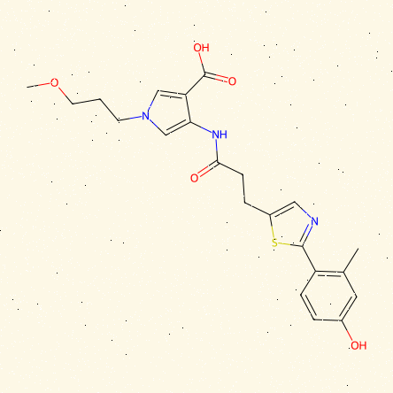 COCCCn1cc(NC(=O)CCc2cnc(-c3ccc(O)cc3C)s2)c(C(=O)O)c1